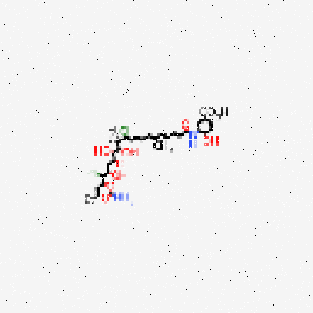 CC/C=C/C(OC(N)=O)C(Cl)C(O)CC(=O)C(O)C(O)C(C)/C(Cl)=C/C=C/C=C(C)/C=C/C=C/C(=O)NC1CC(C(=O)O)CCC1O